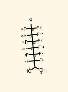 CC(O)C(F)(F)C(F)(F)C(F)(F)C(F)(F)C(F)(F)C(F)(F)F